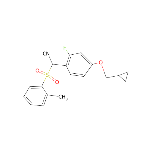 [C-]#[N+]C(c1ccc(OCC2CC2)cc1F)S(=O)(=O)c1ccccc1C